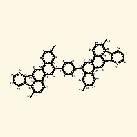 Cc1ccc2c(c1)c(-c1ccc(-c3cc4c5ccc(C)c6c5c(cc4c4ccc(C)cc34)-c3ncccc3-6)cc1)cc1c3ccc(C)c4c3c(cc21)-c1ncccc1-4